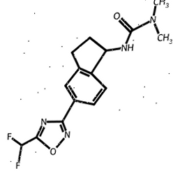 CN(C)C(=O)NC1CCc2cc(-c3noc(C(F)F)n3)ccc21